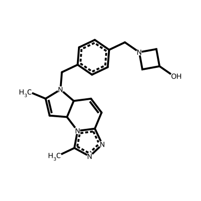 CC1=CC2C(C=Cc3nnc(C)n32)N1Cc1ccc(CN2CC(O)C2)cc1